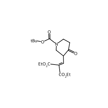 CCOC(=O)C(=CC1CN(C(=O)OC(C)(C)C)CCC1=O)C(=O)OCC